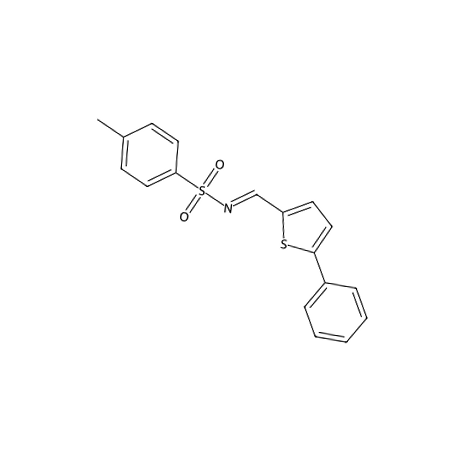 Cc1ccc(S(=O)(=O)N=Cc2ccc(-c3ccccc3)s2)cc1